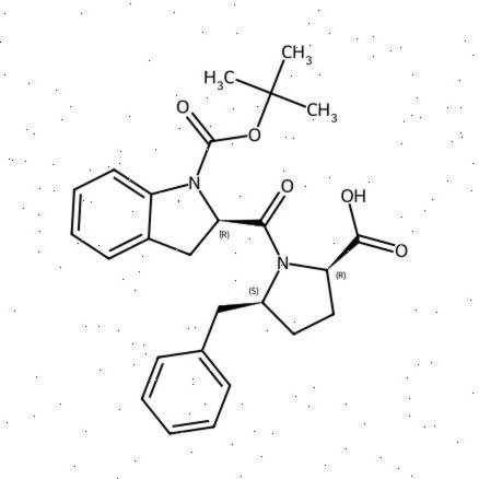 CC(C)(C)OC(=O)N1c2ccccc2C[C@@H]1C(=O)N1[C@H](Cc2ccccc2)CC[C@@H]1C(=O)O